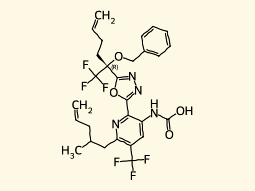 C=CCC[C@@](OCc1ccccc1)(c1nnc(-c2nc(CC(C)CC=C)c(C(F)(F)F)cc2NC(=O)O)o1)C(F)(F)F